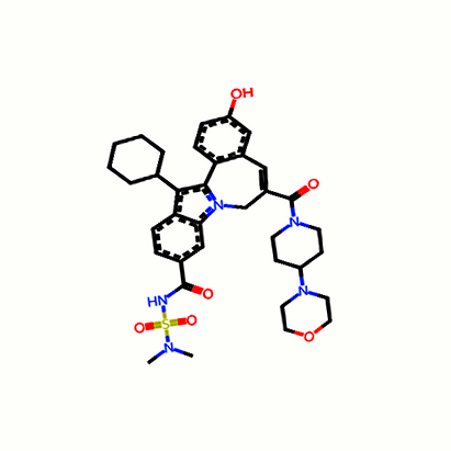 CN(C)S(=O)(=O)NC(=O)c1ccc2c(C3CCCCC3)c3n(c2c1)CC(C(=O)N1CCC(N2CCOCC2)CC1)=Cc1cc(O)ccc1-3